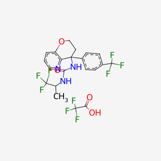 CC(NC(=O)NC1(c2ccc(C(F)(F)F)cc2)CCOc2cccnc21)C(F)(F)F.O=C(O)C(F)(F)F